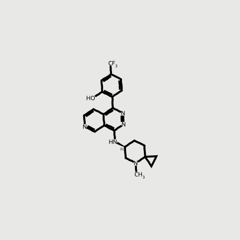 CN1C[C@@H](Nc2nnc(-c3ccc(C(F)(F)F)cc3O)c3ccncc23)CCC12CC2